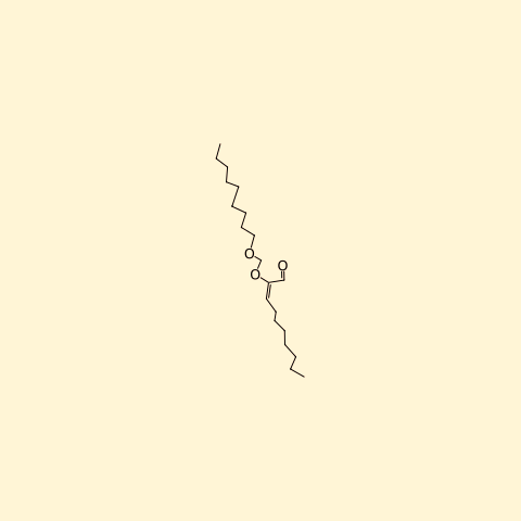 CCCCCCC/C=C(\C=O)OCOCCCCCCCCC